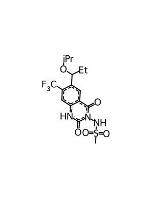 CCC(OC(C)C)c1cc2c(=O)n(NS(C)(=O)=O)c(=O)[nH]c2cc1C(F)(F)F